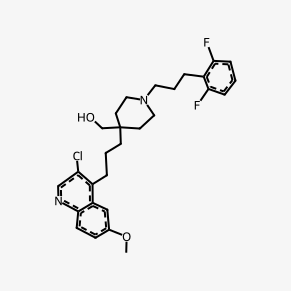 COc1ccc2ncc(Cl)c(CCCC3(CO)CCN(CCCc4c(F)cccc4F)CC3)c2c1